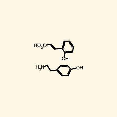 NCCc1ccc(O)cc1.O=C(O)/C=C/c1ccccc1O